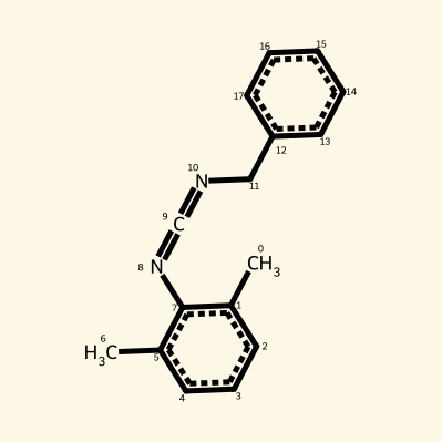 Cc1cccc(C)c1N=C=NCc1ccccc1